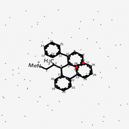 CNCC(C)C(c1ccccc1-c1ccccc1)c1ccccc1-c1ccccc1